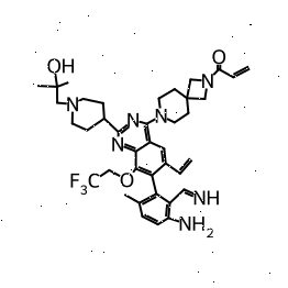 C=CC(=O)N1CC2(CCN(c3nc(C4CCN(CC(C)(C)O)CC4)nc4c(OCC(F)(F)F)c(-c5c(C)ccc(N)c5C=N)c(C=C)cc34)CC2)C1